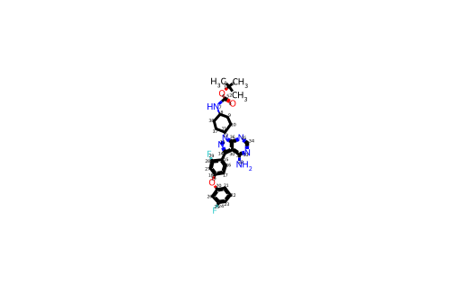 CC(C)(C)OC(=O)N[C@H]1CC[C@H](n2nc(-c3ccc(Oc4cccc(F)c4)cc3F)c3c(N)ncnc32)CC1